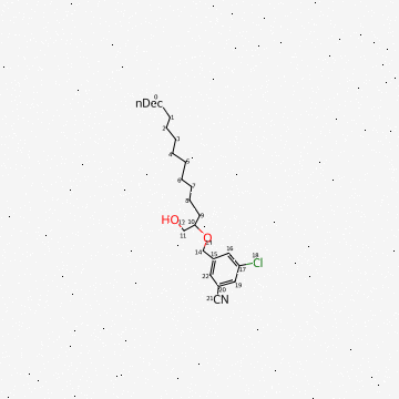 CCCCCCCCCCCCCCCCCCCC(CO)OCc1cc(Cl)cc(C#N)c1